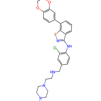 CN1CCN(CCNCc2ccc(Nc3nsc4c(-c5ccc6c(c5)OCCO6)cccc34)c(Cl)c2)CC1